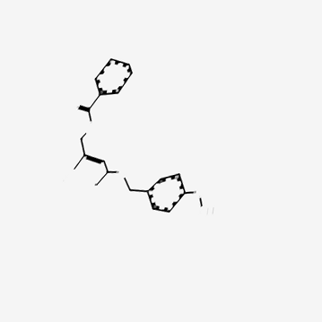 COc1ccc(COC(Cl)/C=C(\C)COC(=O)c2ccccc2)cc1